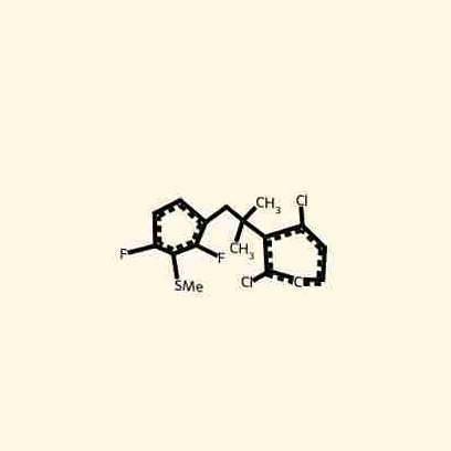 CSc1c(F)ccc(CC(C)(C)c2c(Cl)cccc2Cl)c1F